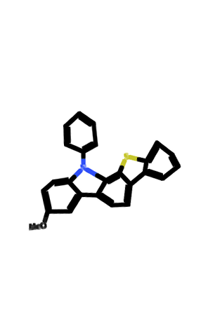 COc1ccc2c(c1)c1ccc3c4ccccc4sc3c1n2-c1ccccc1